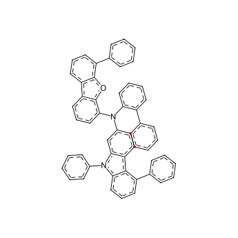 c1ccc(-c2ccccc2N(c2ccc3c4c(-c5ccccc5)cccc4n(-c4ccccc4)c3c2)c2cccc3c2oc2c(-c4ccccc4)cccc23)cc1